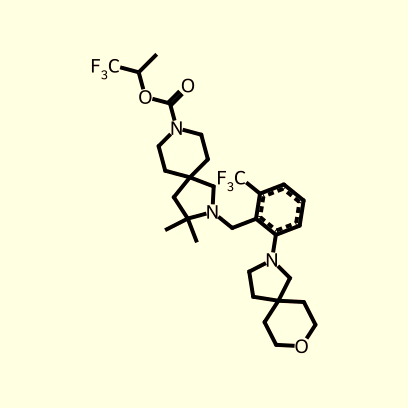 CC(OC(=O)N1CCC2(CC1)CN(Cc1c(N3CCC4(CCOCC4)C3)cccc1C(F)(F)F)C(C)(C)C2)C(F)(F)F